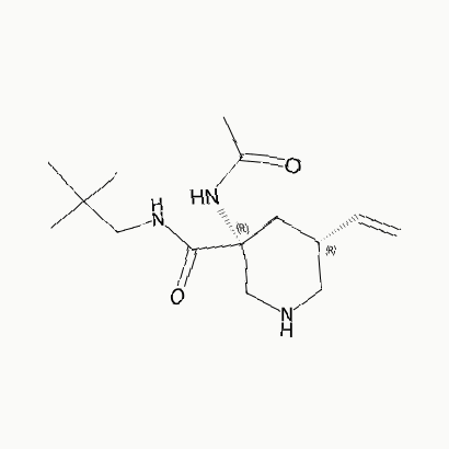 C=C[C@@H]1CNC[C@@](NC(C)=O)(C(=O)NCC(C)(C)C)C1